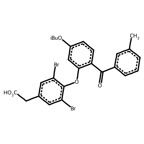 Cc1cccc(C(=O)c2ccc(OCC(C)C)cc2Oc2c(Br)cc(CC(=O)O)cc2Br)c1